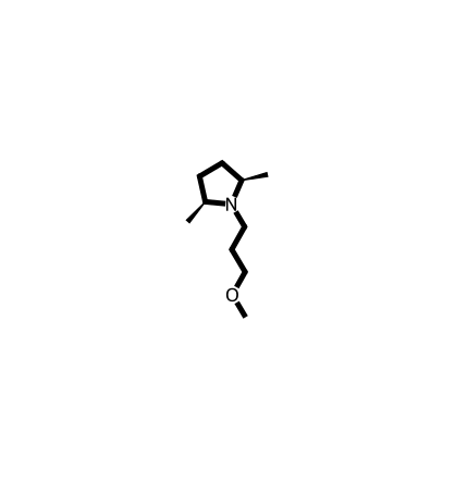 COCCCN1[C@H](C)CC[C@@H]1C